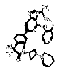 CC(C)n1cnc2cc(-c3ccc4c(c3)N([C@H]3C[C@@H](N5CCCCC5)C3)C(=O)[C@@]4(C)O)nc(Nc3ccncc3F)c21